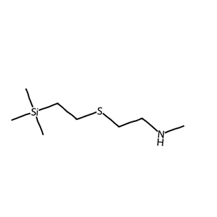 CNCCSCC[Si](C)(C)C